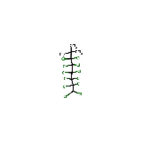 Cl[C](Cl)C(Cl)(Cl)C(Cl)(Cl)C(Cl)(Cl)C(Cl)(Cl)C(Cl)(Cl)C(C(Cl)(Cl)Cl)(C(Cl)(Cl)Cl)C(Cl)(Cl)Cl